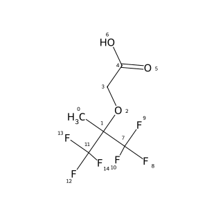 CC(OCC(=O)O)(C(F)(F)F)C(F)(F)F